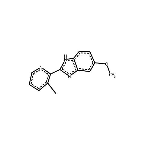 Cc1cccnc1-c1nc2cc(OC(F)(F)F)ccc2[nH]1